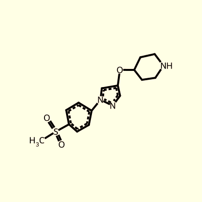 CS(=O)(=O)c1ccc(-n2cc(OC3CCNCC3)cn2)cc1